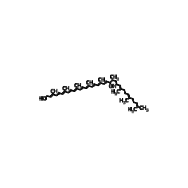 CC(C)=CCC/C(C)=C/CC/C(C)=C/CCC(C)C(O)CC/C(C)=C/CC/C(C)=C/CC/C(C)=C/CC/C(C)=C/CC/C(C)=C/CO